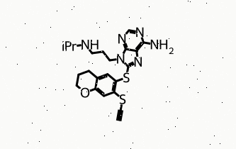 C#CSc1cc2c(cc1Sc1nc3c(N)ncnc3n1CCCNC(C)C)CCCO2